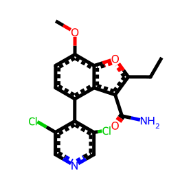 CCc1oc2c(OC)ccc(-c3c(Cl)cncc3Cl)c2c1C(N)=O